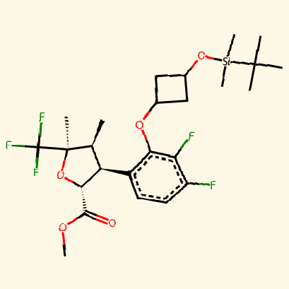 COC(=O)[C@@H]1O[C@@](C)(C(F)(F)F)[C@@H](C)[C@H]1c1ccc(F)c(F)c1OC1CC(O[Si](C)(C)C(C)(C)C)C1